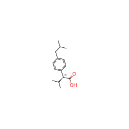 CC(C)Cc1ccc([C@@H](C(=O)O)C(C)C)cc1